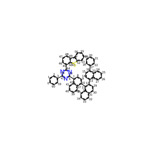 c1ccc(-c2nc(-c3ccc(-c4c(-c5ccc(-c6ccccc6)c6ccccc56)ccc5ccccc45)c4ccccc34)nc(-c3cccc4c3sc3ccccc34)n2)cc1